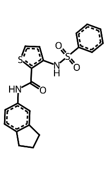 O=C(Nc1ccc2c(c1)CCC2)c1sccc1NS(=O)(=O)c1ccccc1